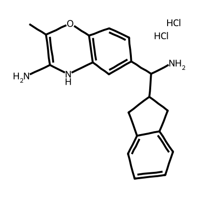 CC1=C(N)Nc2cc(C(N)C3Cc4ccccc4C3)ccc2O1.Cl.Cl